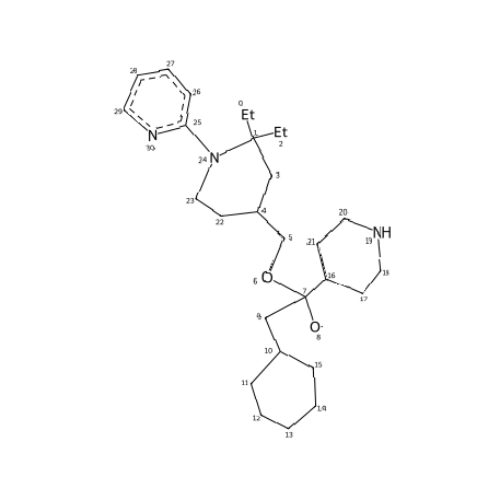 CCC1(CC)CC(COC([O])(CC2CCCCC2)C2CCNCC2)CCN1c1ccccn1